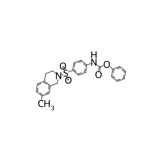 Cc1ccc2c(c1)CN(S(=O)(=O)c1ccc(NC(=O)Oc3ccccc3)cc1)CC2